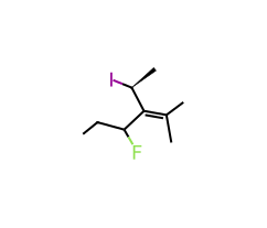 CCC(F)C(=C(C)C)[C@H](C)I